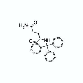 NC(=O)CC[C@H](C=O)NC(c1ccccc1)(c1ccccc1)c1ccccc1